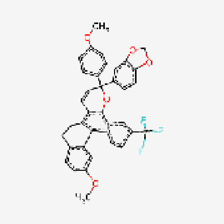 COc1ccc(C2(c3ccc4c(c3)OCO4)C=Cc3c4c(c5ccc(C(F)(F)F)cc5c3O2)-c2cc(OC)ccc2CC4)cc1